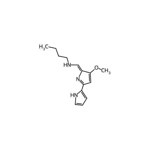 CCCCN/C=C1\N=C(c2ccc[nH]2)C=C1OC